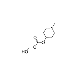 CN1CCC(OC(=O)OCO)CC1